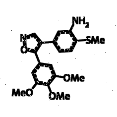 COc1cc(-c2oncc2-c2ccc(SC)c(N)c2)cc(OC)c1OC